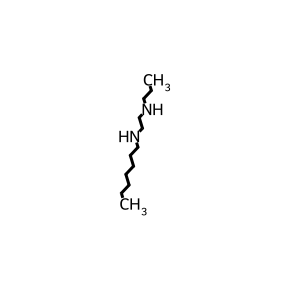 CCCCCCCNCCNCCC